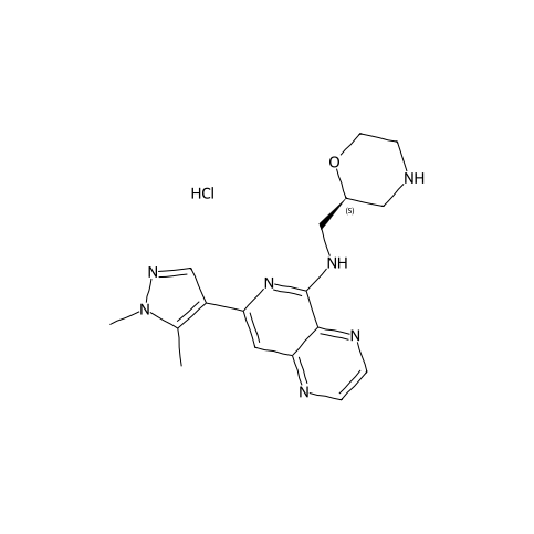 Cc1c(-c2cc3nccnc3c(NC[C@@H]3CNCCO3)n2)cnn1C.Cl